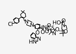 Cc1nc(OC[C@]2(C(C)(C)C)CN(C(=O)O)CCO2)sc1S(=O)(=O)NC(=O)c1ccc(N2CCN(CC3=C(c4ccc(Cl)cc4)CC(C)(C)CC3)CC2)cc1Oc1cccc2[nH]cnc12